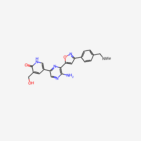 CNCc1ccc(-c2cc(-c3nc(-c4c[nH]c(=O)c(CO)c4)cnc3N)on2)cc1